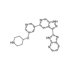 c1cnc2[nH]c(-c3n[nH]c4cnc(-c5cncc(OC6CCNCC6)c5)cc34)nc2c1